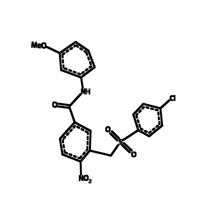 COc1cccc(NC(=O)c2ccc([N+](=O)[O-])c(CS(=O)(=O)c3ccc(Cl)cc3)c2)c1